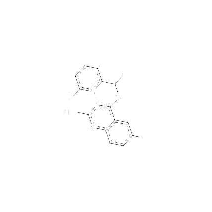 [2H]c1ccc2nc(C)nc(NC(C)c3cccc(C)n3)c2c1